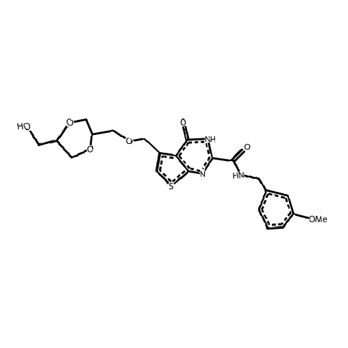 COc1cccc(CNC(=O)c2nc3scc(COCC4COC(CO)CO4)c3c(=O)[nH]2)c1